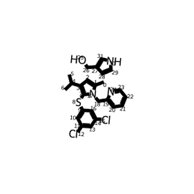 Cc1cc(C(C)C)c(Sc2cc(Cl)cc(Cl)c2)n1Cc1ccccn1.OCc1cc[nH]c1